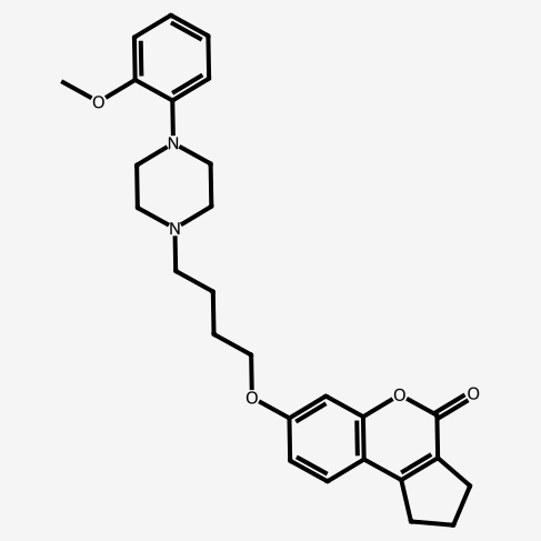 COc1ccccc1N1CCN(CCCCOc2ccc3c4c(c(=O)oc3c2)CCC4)CC1